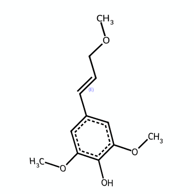 COC/C=C/c1cc(OC)c(O)c(OC)c1